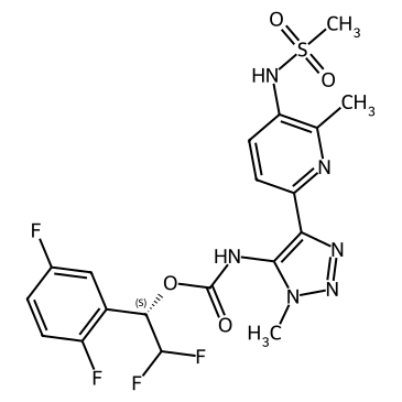 Cc1nc(-c2nnn(C)c2NC(=O)O[C@@H](c2cc(F)ccc2F)C(F)F)ccc1NS(C)(=O)=O